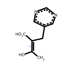 C/C(O)=C(\Cc1cncnc1)C(=O)O